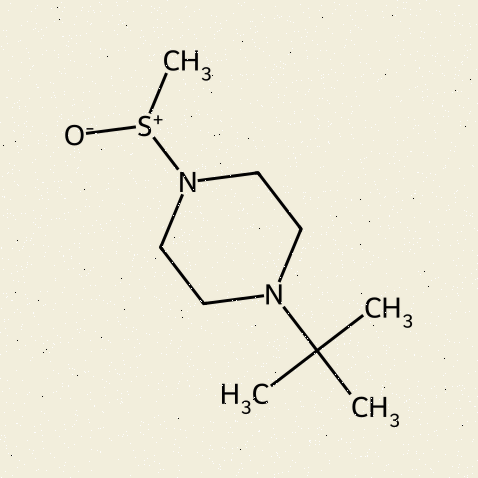 C[S+]([O-])N1CCN(C(C)(C)C)CC1